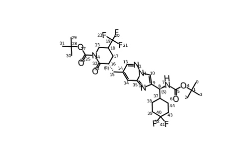 CC(C)(C)OC(=O)N[C@H](c1cn2ncc(C[C@H]3CC(C(F)(F)F)CN(C(=O)OC(C)(C)C)C3=O)cc2n1)C1CCC(F)(F)CC1